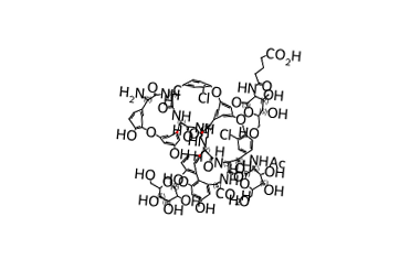 CC(=O)N[C@H]1C(O)[C@H](O)C(CO)O[C@H]1O[C@@H]1c2ccc(c(Cl)c2)Oc2cc3cc(c2O[C@@H]2OC(CO)[C@@H](O)[C@H](O)C2NC(=O)CCCC(=O)O)Oc2ccc(cc2Cl)C[C@H]2NC(=O)[C@H](N)c4ccc(O)c(c4)Oc4cc(O)cc(c4)[C@H](NC2=O)C(=O)N[C@H]3C(=O)N[C@H]2C(=O)N[C@@H]1C(=O)N[C@H](C(=O)O)c1cc(O)cc(O[C@H]3OC(CO)[C@@H](O)[C@@H](O)C3O)c1-c1cc2ccc1O